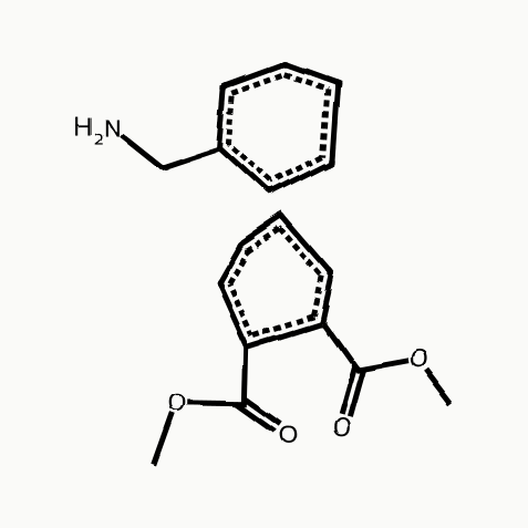 COC(=O)c1ccccc1C(=O)OC.NCc1ccccc1